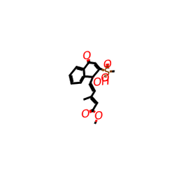 COC(=O)/C=C(C)/C=C/C1(O)C(S(C)(=O)=O)=CC(=O)c2ccccc21